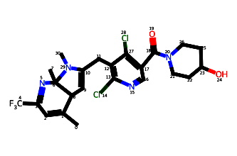 CC1=CC(C(F)(F)F)=NC2(C)C1C=C(Cc1c(Cl)ncc(C(=O)N3CCC(O)CC3)c1Cl)N2C